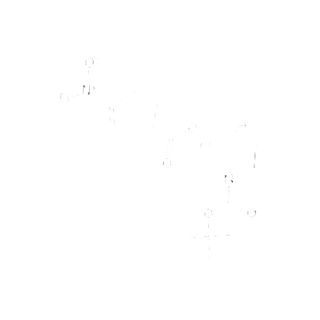 C[C@@H]1CCN(C(=O)OC(C)(C)C)C[C@@H]1OC(=O)c1ccc([N+](=O)[O-])cc1